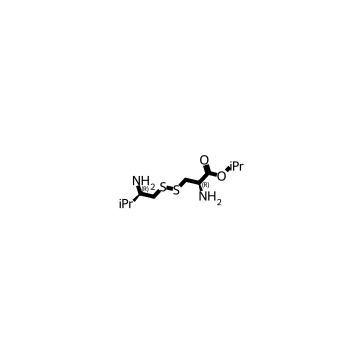 CC(C)OC(=O)[C@@H](N)CSSC[C@H](N)C(C)C